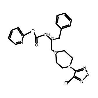 O=C(N[C@@H](Cc1ccccc1)CN1CCN(c2nsnc2Cl)CC1)Oc1ccccn1